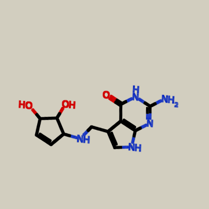 Nc1nc2[nH]cc(CNC3C=CC(O)C3O)c2c(=O)[nH]1